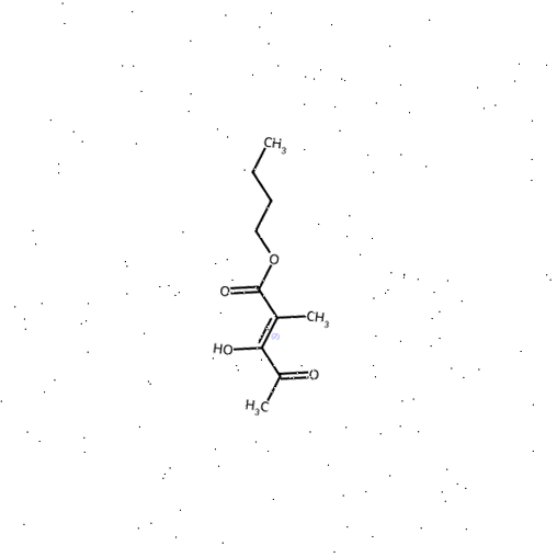 CCCCOC(=O)/C(C)=C(\O)C(C)=O